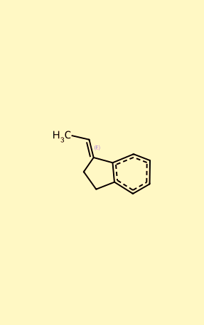 C/C=C1\CCc2ccccc21